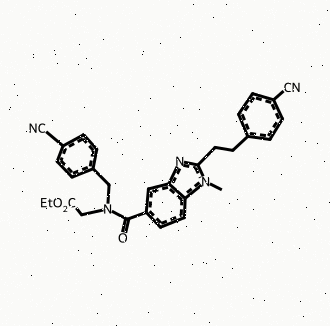 CCOC(=O)CN(Cc1ccc(C#N)cc1)C(=O)c1ccc2c(c1)nc(CCc1ccc(C#N)cc1)n2C